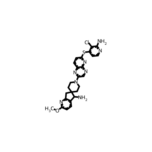 COc1ccc2c(n1)CC1(CCN(c3cnc4nc(Sc5ccnc(N)c5Cl)ccc4n3)CC1)C2N